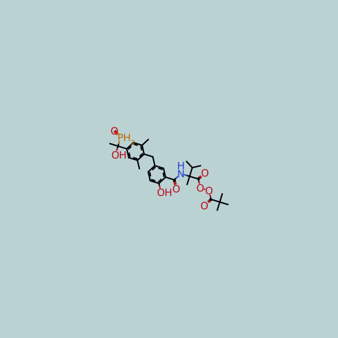 Cc1cc(C(C)(O)[PH2]=O)cc(C)c1Cc1ccc(O)c(C(=O)NC(C)(C(=O)OOC(=O)C(C)(C)C)C(C)C)c1